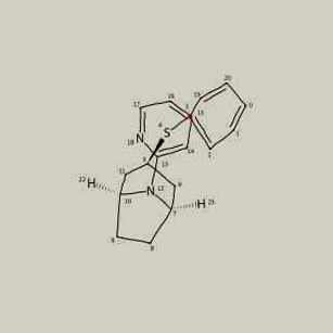 c1ccc(S[C@H]2C[C@H]3CC[C@@H](C2)N3c2ccccn2)cc1